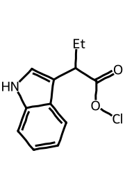 CCC(C(=O)OCl)c1c[nH]c2ccccc12